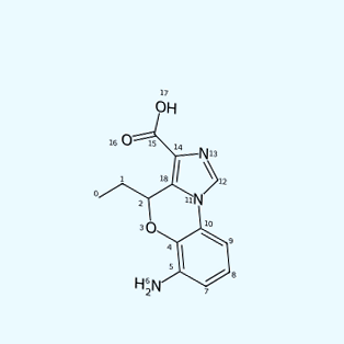 CCC1Oc2c(N)cccc2-n2cnc(C(=O)O)c21